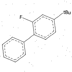 CC(C)(C)c1ccc(-c2ccccc2)c(F)c1